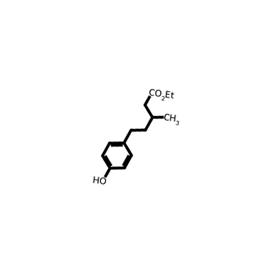 CCOC(=O)CC(C)CCc1ccc(O)cc1